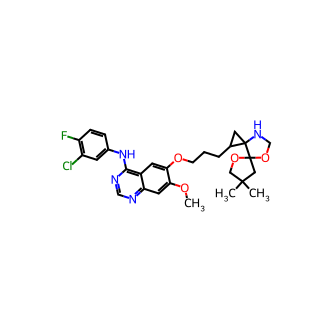 COc1cc2ncnc(Nc3ccc(F)c(Cl)c3)c2cc1OCCCC1CC12NCOC21CC(C)(C)CO1